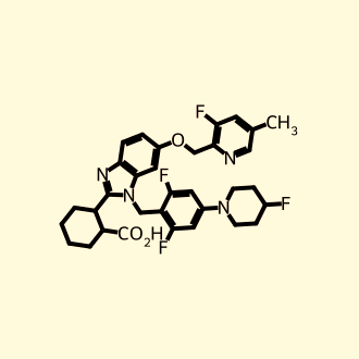 Cc1cnc(COc2ccc3nc(C4CCCCC4C(=O)O)n(Cc4c(F)cc(N5CCC(F)CC5)cc4F)c3c2)c(F)c1